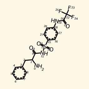 NC(Cc1ccccc1)C(=O)NS(=O)(=O)c1ccc(NC(=O)C(F)(F)F)cc1